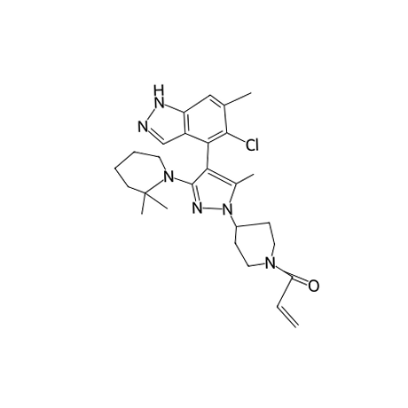 C=CC(=O)N1CCC(n2nc(N3CCCCC3(C)C)c(-c3c(Cl)c(C)cc4[nH]ncc34)c2C)CC1